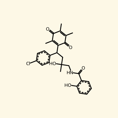 CC1=C(C)C(=O)C(C(CC(C)(O)CNC(=O)c2ccccc2O)c2ccc(Cl)cc2)=C(C)C1=O